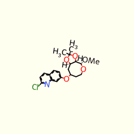 CO[C@@H]1OCC[C@@H](Oc2ccc3ccc(Cl)nc3c2)C[C@H]2OC(C)(C)O[C@@H]12